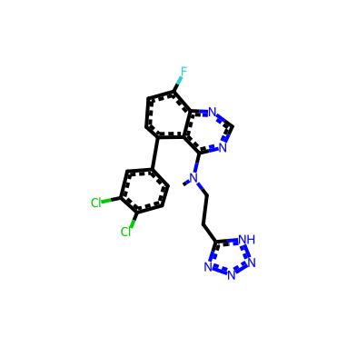 CN(CCc1nnn[nH]1)c1ncnc2c(F)ccc(-c3ccc(Cl)c(Cl)c3)c12